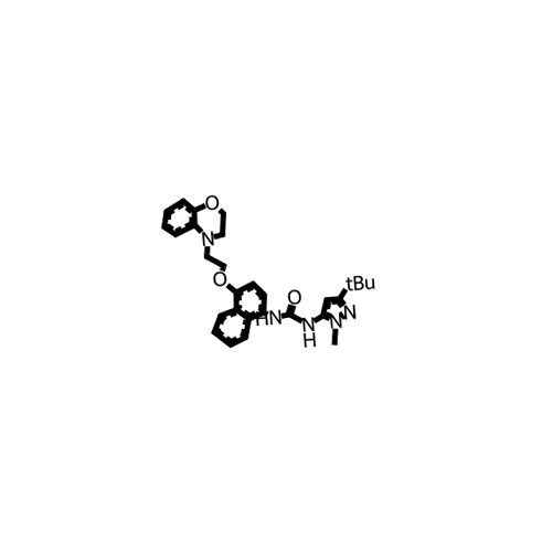 Cn1nc(C(C)(C)C)cc1NC(=O)Nc1ccc(OCCN2CCOc3ccccc32)c2ccccc12